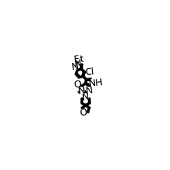 CCn1cc2c(Cl)c(-c3c[nH]c4nc(N5CCC6(CCOC6)CC5)n(C)c(=O)c34)ccc2n1